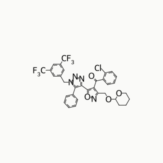 O=C(c1ccccc1Cl)c1c(COC2CCCCO2)noc1-c1nnn(Cc2cc(C(F)(F)F)cc(C(F)(F)F)c2)c1-c1ccccc1